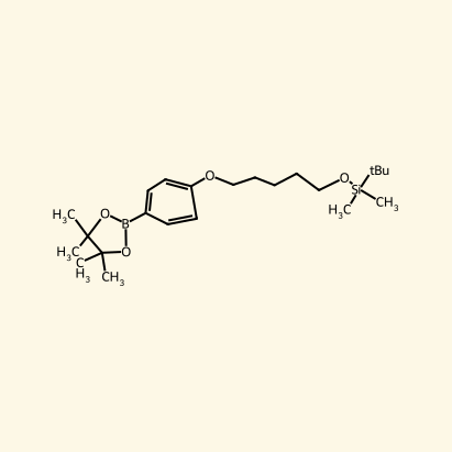 CC1(C)OB(c2ccc(OCCCCCO[Si](C)(C)C(C)(C)C)cc2)OC1(C)C